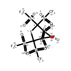 O=S(=O)(C(F)(F)F)C(SC(S(=O)(=O)C(F)(F)F)(S(=O)(=O)C(F)(F)F)S(=O)(=O)C(F)(F)F)(S(=O)(=O)C(F)(F)F)S(=O)(=O)C(F)(F)F.[Li]